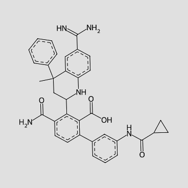 CC1(c2ccccc2)CC(c2c(C(N)=O)ccc(-c3cccc(NC(=O)C4CC4)c3)c2C(=O)O)Nc2ccc(C(=N)N)cc21